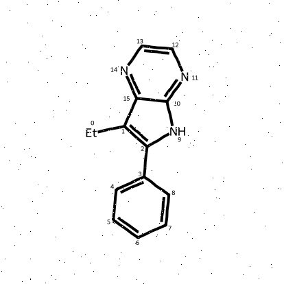 CCc1c(-c2c[c]ccc2)[nH]c2nccnc12